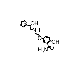 NC(=O)c1cc(OCCNCC(O)c2cccs2)ccc1O